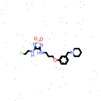 O=S1(=O)N=C(NCCF)C(NCCCOc2cccc(CN3CCCCC3)c2)=N1